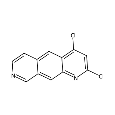 Clc1cc(Cl)c2cc3ccncc3cc2n1